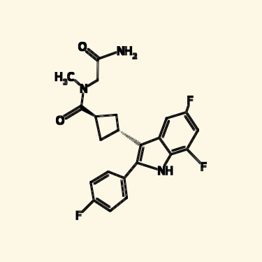 CN(CC(N)=O)C(=O)[C@H]1C[C@H](c2c(-c3ccc(F)cc3)[nH]c3c(F)cc(F)cc32)C1